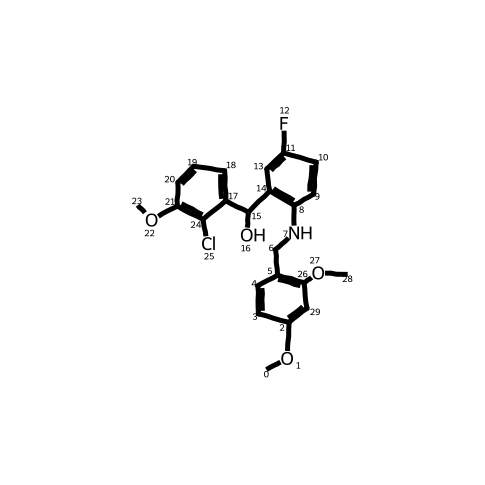 COc1ccc(CNc2ccc(F)cc2C(O)c2cccc(OC)c2Cl)c(OC)c1